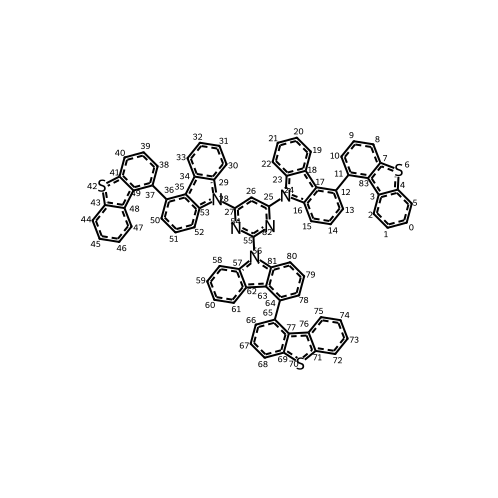 c1ccc2c(c1)sc1cccc(-c3cccc4c3c3ccccc3n4-c3cc(-n4c5ccccc5c5c(-c6cccc7sc8ccccc8c67)cccc54)nc(-n4c5ccccc5c5c(-c6cccc7sc8ccccc8c67)cccc54)n3)c12